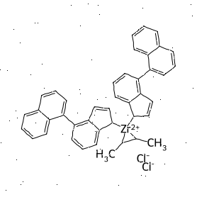 C[CH]1[CH](C)[Zr+2]1([CH]1C=Cc2c(-c3cccc4ccccc34)cccc21)[CH]1C=Cc2c(-c3cccc4ccccc34)cccc21.[Cl-].[Cl-]